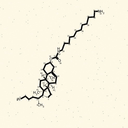 CC(C)CCC[C@@H](C)[C@H]1CC[C@H]2[C@@H]3CC=C4C[C@@H](OC(=O)NCCCCCCCCCCCCN)CC[C@]4(C)[C@H]3CC[C@]12C